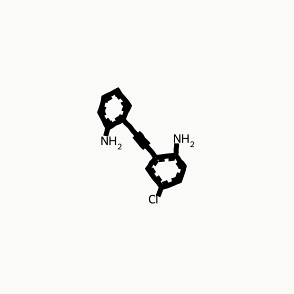 Nc1ccccc1C#Cc1cc(Cl)ccc1N